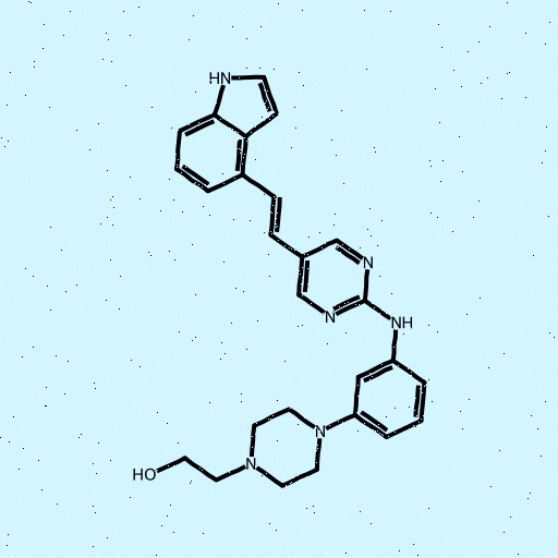 OCCN1CCN(c2cccc(Nc3ncc(C=Cc4cccc5[nH]ccc45)cn3)c2)CC1